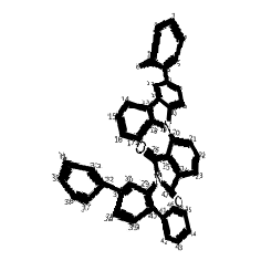 Cc1ccccc1-c1ccc2c(c1)c1ccccc1n2-c1cccc2c1C(=O)N(c1cc(-c3ccccc3)ccc1-c1ccccc1)C2=O